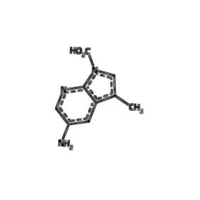 Cc1cn(C(=O)O)c2ncc(N)cc12